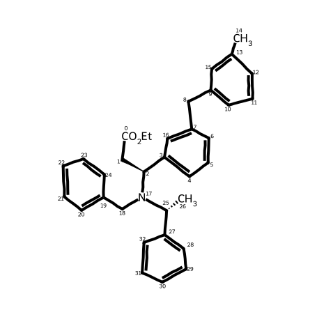 CCOC(=O)C[C@@H](c1cccc(Cc2cccc(C)c2)c1)N(Cc1ccccc1)[C@H](C)c1ccccc1